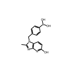 Cc1nc2nc(O)ccc2n1Cc1ccc(B(O)O)cc1